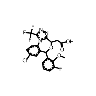 COc1c(F)cccc1C1OC(CC(=O)O)c2nnc(C(F)(F)F)n2-c2ccc(Cl)cc21